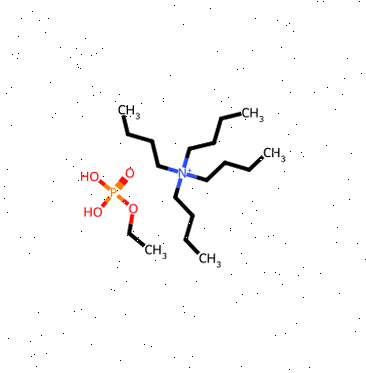 CCCC[N+](CCCC)(CCCC)CCCC.CCOP(=O)(O)O